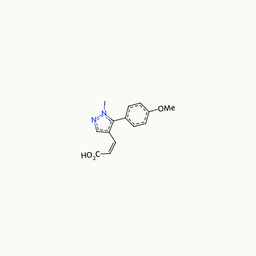 COc1ccc(-c2c(/C=C\C(=O)O)cnn2C)cc1